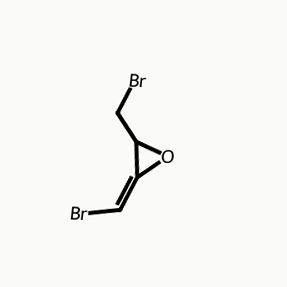 BrC=C1OC1CBr